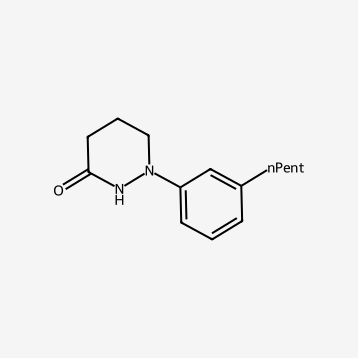 CCCCCc1cccc(N2CCCC(=O)N2)c1